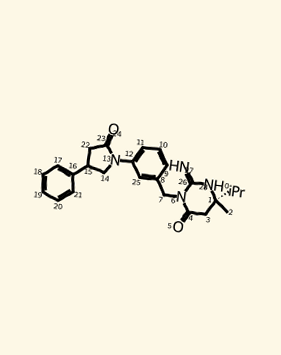 CC(C)[C@]1(C)CC(=O)N(Cc2cccc(N3CC(c4ccccc4)CC3=O)c2)C(=N)N1